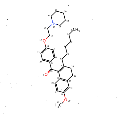 CCCCCCC1=C(C(=O)c2ccc(OCCN3CCCCC3)cc2)c2ccc(OC)cc2CC1